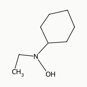 CCN(O)C1CCCCC1